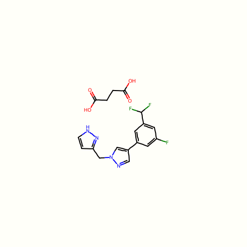 Fc1cc(-c2cnn(Cc3cc[nH]n3)c2)cc(C(F)F)c1.O=C(O)CCC(=O)O